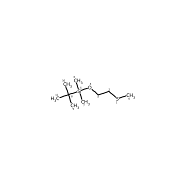 CSCCO[Si](C)(C)C(C)(C)C